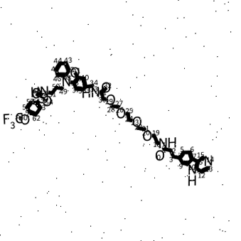 O=C(CCc1ccc2c(c1)[nH]c1ccncc12)NCCOCCOCCOCCOCC(=O)NCc1ccc2c(c1)Oc1ccccc1N2CCCNS(=O)(=O)c1ccc(OC(F)(F)F)cc1